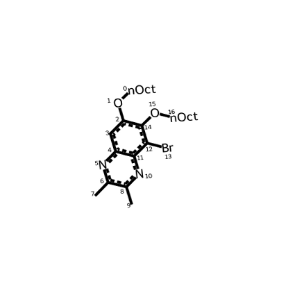 CCCCCCCCOc1cc2nc(C)c(C)nc2c(Br)c1OCCCCCCCC